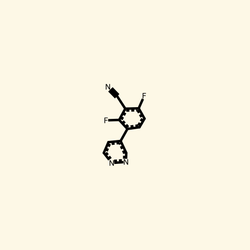 N#Cc1c(F)ccc(-c2ccnnc2)c1F